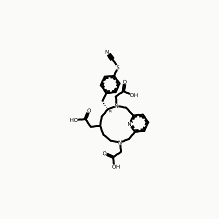 N#CSc1ccc(C[C@H]2CC(CC(=O)O)CCN(CC(=O)O)Cc3cccc(n3)CN2CC(=O)O)cc1